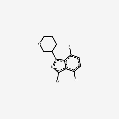 Fc1ccc(Cl)c2c(Br)nn(C3CCCOC3)c12